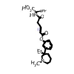 CCC1(c2cccc(OC(=O)/C=C/CC(=O)N[C@H](C(=O)O)C(C)C)c2)CCCCN(C)C1